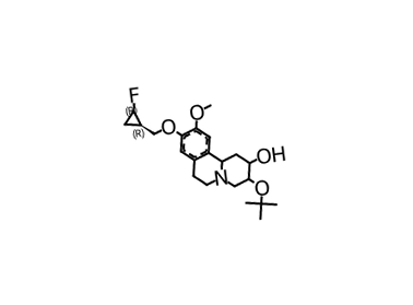 COc1cc2c(cc1OC[C@H]1C[C@H]1F)CCN1CC(OC(C)(C)C)C(O)CC21